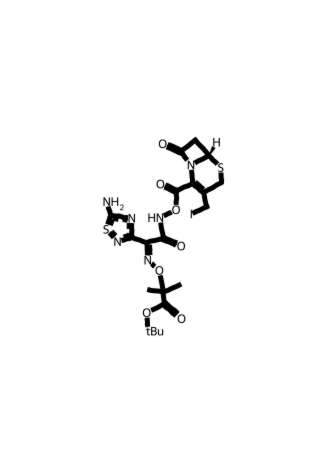 CC(C)(C)OC(=O)C(C)(C)O/N=C(\C(=O)NOC(=O)C1=C(CI)CS[C@H]2CC(=O)N12)c1nsc(N)n1